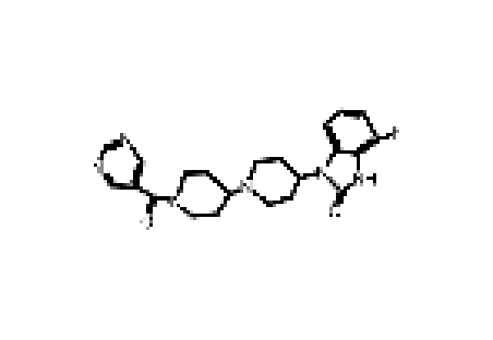 O=C(c1cncnc1)N1CCC(N2CCC(n3c(=O)[nH]c4c(F)cccc43)CC2)CC1